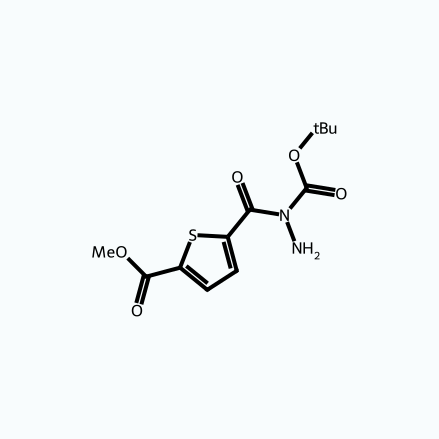 COC(=O)c1ccc(C(=O)N(N)C(=O)OC(C)(C)C)s1